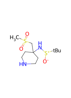 CC(C)(C)[S+]([O-])NC1(CS(C)(=O)=O)CCNCC1